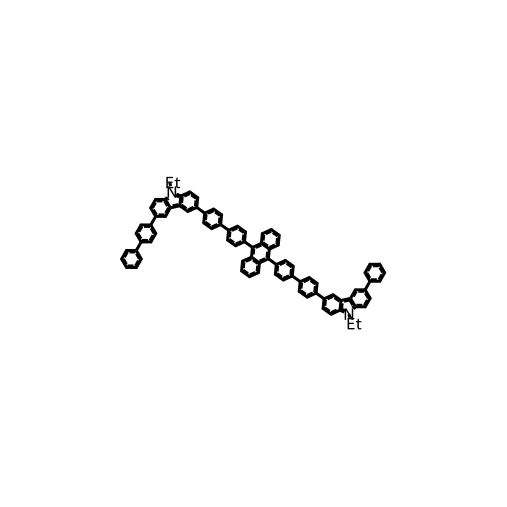 CCn1c2ccc(-c3ccccc3)cc2c2cc(-c3ccc(-c4ccc(-c5c6ccccc6c(-c6ccc(-c7ccc(-c8ccc9c(c8)c8cc(-c%10ccc(-c%11ccccc%11)cc%10)ccc8n9CC)cc7)cc6)c6ccccc56)cc4)cc3)ccc21